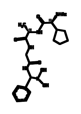 CC(=O)N[C@H](C(=O)N[C@@H](C)C(=O)NCC(=O)NC(B(O)O)c1ccccc1)C1CCCC1